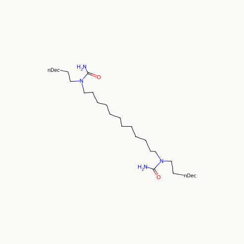 CCCCCCCCCCCCN(CCCCCCCCCCCCN(CCCCCCCCCCCC)C(N)=O)C(N)=O